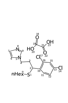 CCCCCCSC(CCn1ccnc1)c1ccc(Cl)cc1Cl.O=C(O)C(=O)O